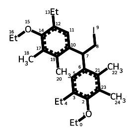 CCOc1c(CC)cc(C(CI)c2cc(CC)c(OCC)c(C)c2C)c(C)c1C